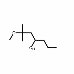 CCCC(O)CC(C)(C)OC